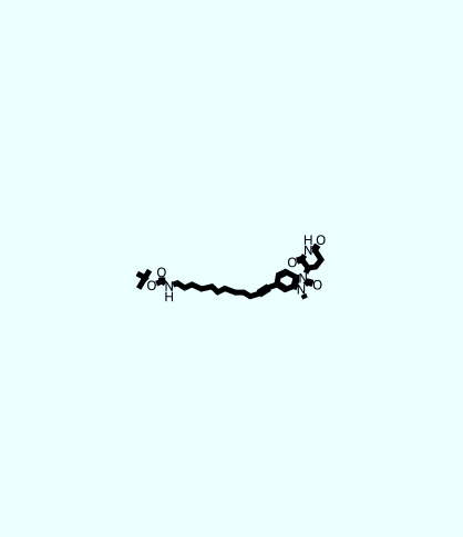 Cn1c(=O)n(C2CCC(=O)NC2=O)c2ccc(C#CCCCCCCCCCCNC(=O)OC(C)(C)C)cc21